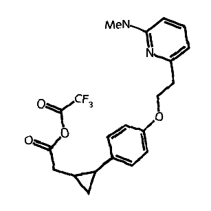 CNc1cccc(CCOc2ccc(C3CC3CC(=O)OC(=O)C(F)(F)F)cc2)n1